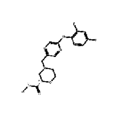 CCNC(=O)[C@@H]1CN(Cc2cnc(Oc3ccc(F)cc3F)cn2)CCO1